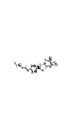 CCOC/C=C/c1cnc(N(C)Cc2ccc(C=O)c(Cl)c2)nc1